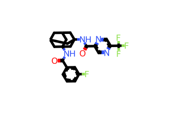 O=C(NC12CC3CC(C1)CC(NC(=O)c1cnc(C(F)(F)F)cn1)(C3)C2)c1cccc(F)c1